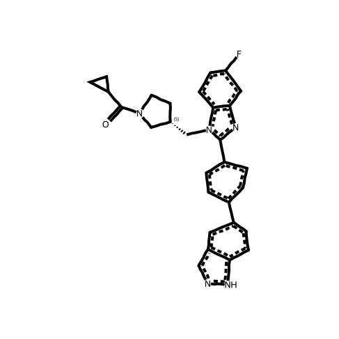 O=C(C1CC1)N1CC[C@H](Cn2c(-c3ccc(-c4ccc5[nH]ncc5c4)cc3)nc3cc(F)ccc32)C1